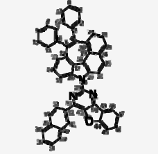 c1ccc(C2=C(c3ccccc3)c3cccc4c3c3c5c2cccc5ccc3n4-c2nc(-c3ccc4ccccc4c3)c3oc4ccccc4c3n2)cc1